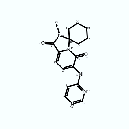 O=C1c2ccc(Nc3ccncn3)c(=O)n2C2(CCCCC2)N1F